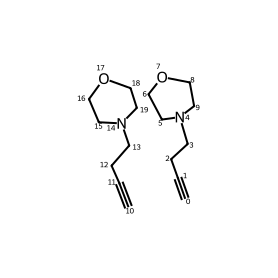 C#CCCN1CCOCC1.C#CCCN1CCOCC1